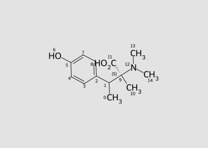 CC(c1ccc(O)cc1)[C@@](C)(C(=O)O)N(C)C